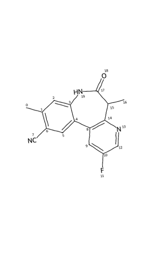 Cc1cc2c(cc1C#N)-c1cc(F)cnc1C(C)C(=O)N2